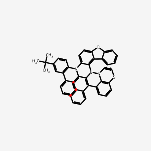 CC(C)(C)c1ccc(N2c3cc4ccccc4c4c3B(c3c2ccc2oc5ccccc5c32)N2c3ccccc3Sc3cccc-4c32)c(-c2ccccc2)c1